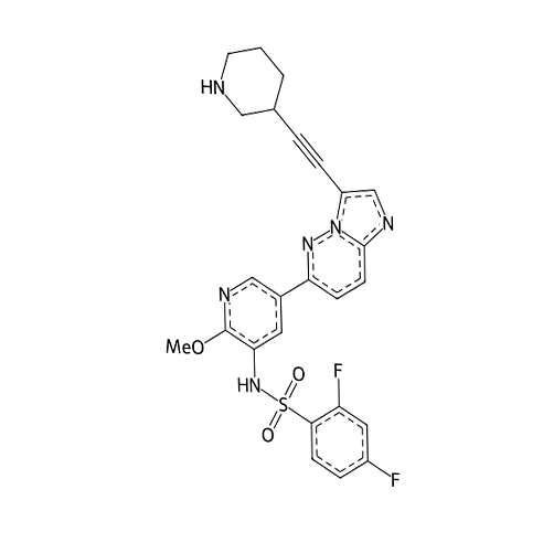 COc1ncc(-c2ccc3ncc(C#CC4CCCNC4)n3n2)cc1NS(=O)(=O)c1ccc(F)cc1F